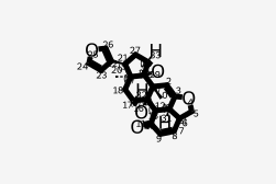 C[C@@]12C=C3OC[C@@]4(C)C=CC(=O)[C@@](C)([C@@H]34)[C@@]13O[C@H]3C[C@@]1(C)[C@@H](c3ccoc3)C[C@H]3O[C@@]321